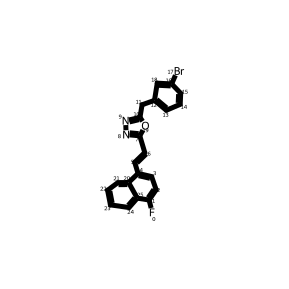 Fc1ccc(/C=C/c2nnc(Cc3cccc(Br)c3)o2)c2ccccc12